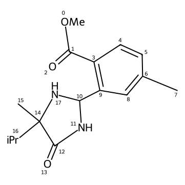 COC(=O)c1ccc(C)cc1C1NC(=O)C(C)(C(C)C)N1